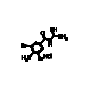 Cl.N=C(N)NC(=O)c1cc(Br)c(N)c(Br)c1